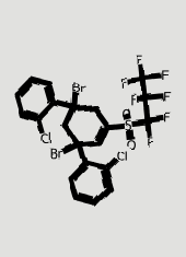 O=S(=O)(C1=CC(Br)(c2ccccc2Cl)[CH]C(Br)(c2ccccc2Cl)C1)C(F)(F)C(F)(F)C(F)(F)F